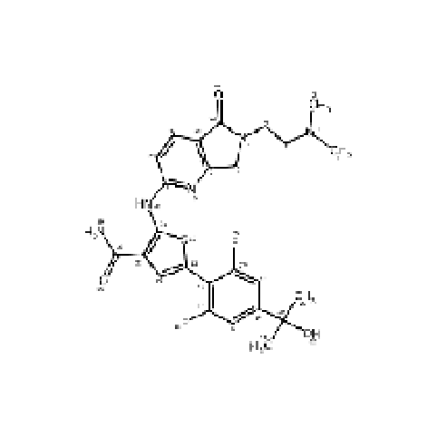 CN(C)CCN1Cc2nc(Nc3sc(-c4c(F)cc(C(C)(C)O)cc4F)cc3C(N)=O)ccc2C1=O